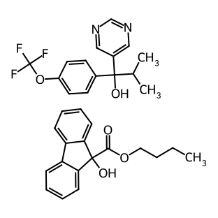 CC(C)C(O)(c1ccc(OC(F)(F)F)cc1)c1cncnc1.CCCCOC(=O)C1(O)c2ccccc2-c2ccccc21